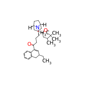 CCC1C=C(C(=O)CCC[C@@H]2C[C@H]3CC[C@@H](C2)N3CC(=O)CC(C)C(C)(C)C)c2ccccc2C1